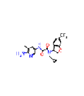 Cc1cc(NC(=O)C(=O)N(CC2CC2)C2COc3cc(C(F)(F)F)ccc32)cnc1N